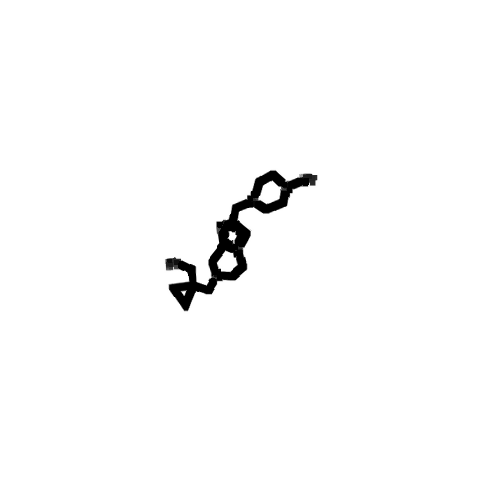 CC(C)CC1(CN2CCn3cc(CN4CCN(C(C)C)CC4)nc3C2)CC1